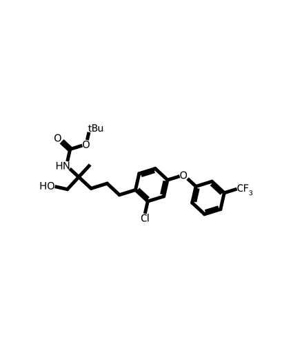 CC(CO)(CCCc1ccc(Oc2cccc(C(F)(F)F)c2)cc1Cl)NC(=O)OC(C)(C)C